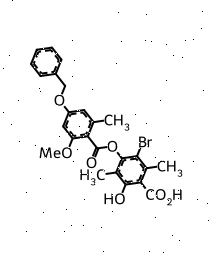 COc1cc(OCc2ccccc2)cc(C)c1C(=O)Oc1c(C)c(O)c(C(=O)O)c(C)c1Br